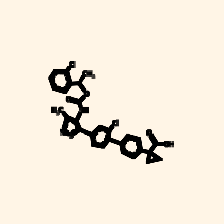 Cc1nsc(-c2ccc(-c3ccc(C4(C(=O)O)CC4)cc3)c(Cl)c2)c1NC(=O)O[C@H](C)c1ccccc1Cl